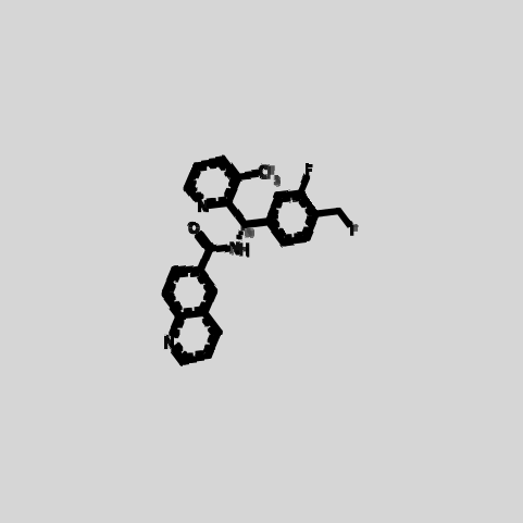 O=C(N[C@@H](c1ccc(CF)c(F)c1)c1ncccc1C(F)(F)F)c1ccc2ncccc2c1